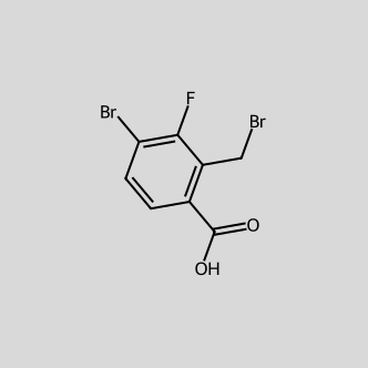 O=C(O)c1ccc(Br)c(F)c1CBr